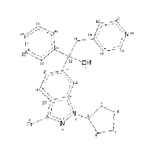 CCc1nn(C2CCCC2)c2cc(C(O)(Cc3ccncc3)c3ccccc3)ccc12